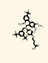 COc1cc(CN(Cc2cc(C(F)(F)F)cc(C(F)(F)F)c2)c2ncc(OCCCC(=O)O)cn2)c(-c2cc(C(F)(F)F)ccc2OC)cc1OC